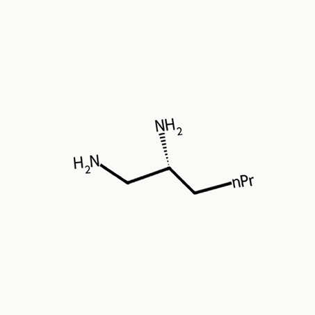 CCCC[C@@H](N)CN